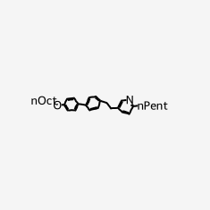 CCCCCCCCOc1ccc(-c2ccc(CCc3ccc(CCCCC)nc3)cc2)cc1